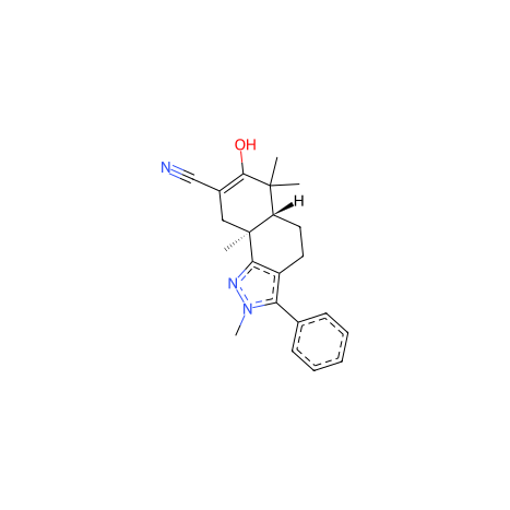 Cn1nc2c(c1-c1ccccc1)CC[C@H]1C(C)(C)C(O)=C(C#N)C[C@]21C